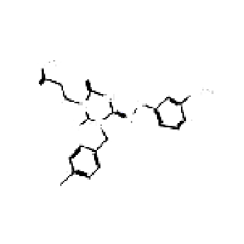 COC(=O)CCN1C(=O)N/C(=N\Nc2cccc(OC)c2)N(Cc2ccc(C)cc2)C1O